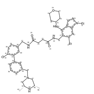 CCc1nc2c(cnn2CC)c(NC2CCOCC2)c1CNC(=O)CCC(=O)NCc1ccc(Cl)c(-c2cccc(CN3C[C@@H](C)N[C@@H](C)C3)c2)c1